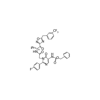 CC(C)[C@H](NC(=O)Cn1c(-c2ccc(F)cc2)ncc(NC(=O)OCc2ccccc2)c1=O)C(=O)c1noc(Cc2cccc(C(F)(F)F)c2)n1